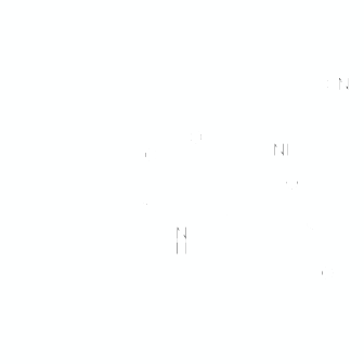 CS(=O)(=O)CC(NC(=O)c1ccccc1)C(=O)NCC#N